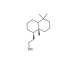 CC1(C)CCC[C@@]2(C)C1CCC[C@@H]2CCO